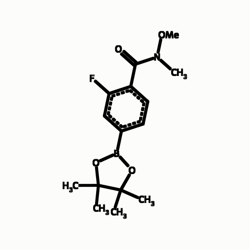 CON(C)C(=O)c1ccc(B2OC(C)(C)C(C)(C)O2)cc1F